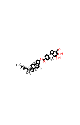 Cc1c(O)c(O)c(C=O)c2c1[C@@H](c1ccc(C(=O)O[C@H]3CC[C@@]4(C)C(=CC[C@H]5[C@@H]6CC[C@H]([C@H](C)CCCC(C)C)[C@@]6(C)CC[C@@H]54)C3)cc1)CC2